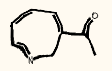 CC(=O)C1=CC=CC=NC1